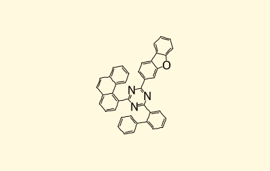 c1ccc(-c2ccccc2-c2nc(-c3ccc4c(c3)oc3ccccc34)nc(-c3cccc4ccc5ccccc5c34)n2)cc1